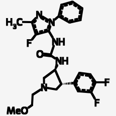 COCCN1C[C@@H](NC(=O)Nc2c(F)c(C)nn2-c2ccccc2)[C@H](c2ccc(F)c(F)c2)C1